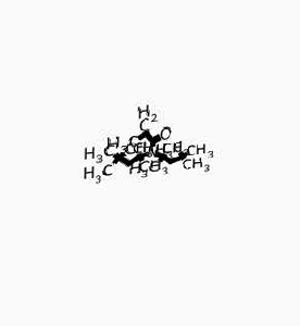 C=C(C)C(=O)N(C(C)(C)CC(C)(C)C)C(C)(C)CC(C)(C)C